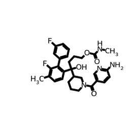 CNC(=O)OCCCC(O)(c1ccc(C)c(F)c1-c1cccc(F)c1)C1CCCN(C(=O)c2ccc(N)nc2)C1